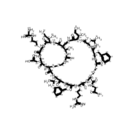 CC[C@H](C)[C@@H]1NC(=O)[C@H](CC(C)C)NC(=O)[C@H](Cc2ccccc2)NC(=O)CSC[C@@H](C(=O)NCC(N)=O)NC(=O)[C@H](CCCNC(=N)N)NC(=O)[C@H](Cc2ccccc2)NC(=O)[C@H](C(C)C)NC(=O)[C@@H]2CCCNC(=N)NC(C)[C@H](NC1=O)C(=O)N[C@@H]([C@@H](C)CC)C(=O)N[C@@H](CCCNC(=N)N)C(=O)N[C@@H](CC(=O)O)C(=O)N2